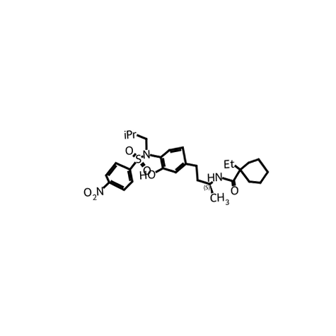 CCC1(C(=O)N[C@@H](C)CCc2ccc(N(CC(C)C)S(=O)(=O)c3ccc([N+](=O)[O-])cc3)c(O)c2)CCCCC1